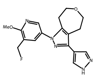 COc1ncc(-n2nc(-c3cn[nH]c3)c3c2CCOCC3)cc1CF